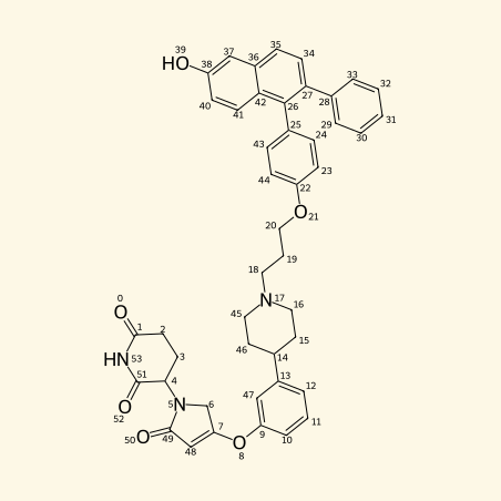 O=C1CCC(N2CC(Oc3cccc(C4CCN(CCCOc5ccc(-c6c(-c7ccccc7)ccc7cc(O)ccc67)cc5)CC4)c3)=CC2=O)C(=O)N1